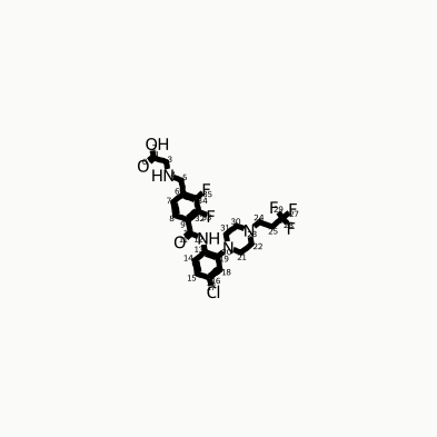 O=C(O)CNCc1ccc(C(=O)Nc2ccc(Cl)cc2N2CCN(CCC(F)(F)F)CC2)c(F)c1F